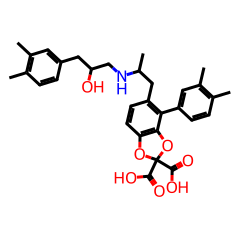 Cc1ccc(CC(O)CNC(C)Cc2ccc3c(c2-c2ccc(C)c(C)c2)OC(C(=O)O)(C(=O)O)O3)cc1C